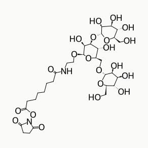 O=C(CCCCCCC(=O)ON1C(=O)CCC1=O)NCCO[C@@H]1O[C@H](CO[C@H]2O[C@H](CO)[C@@H](O)[C@H](O)[C@@H]2O)[C@@H](O)[C@H](O[C@H]2O[C@H](CO)[C@@H](O)[C@H](O)[C@@H]2O)[C@@H]1O